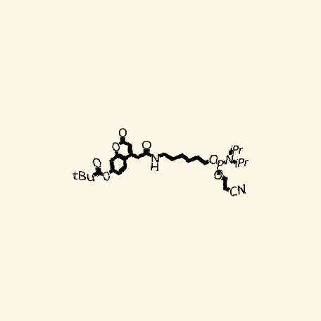 CC(C)N(C(C)C)P(OCCC#N)OCCCCCCNC(=O)Cc1cc(=O)oc2cc(OC(=O)C(C)(C)C)ccc12